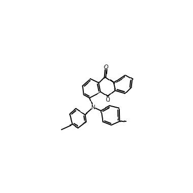 Cc1ccc(N(c2ccc(C)cc2)c2cccc3c2C(=O)c2ccccc2C3=O)cc1